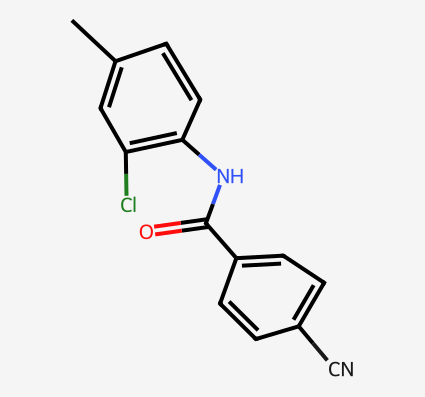 Cc1ccc(NC(=O)c2ccc(C#N)cc2)c(Cl)c1